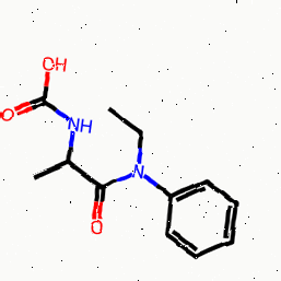 CCN(C(=O)C(C)NC(=O)O)c1ccccc1